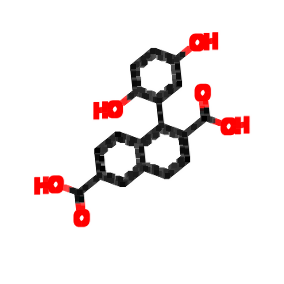 O=C(O)c1ccc2c(-c3cc(O)ccc3O)c(C(=O)O)ccc2c1